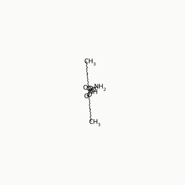 CCCCCCCCC=CCCCCCCCC(=O)OCC(COC(=O)CCCCCCCC=CCCCCCCCC)NC(=O)OCCN